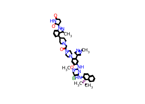 COc1cc(N2CCN(C(=O)CN3CCC(c4cccc5c4c(C)nn5C4CCC(=O)NC4=O)CC3)CC2)c(-c2cnn(C)c2)cc1Nc1ncc(Br)c(Nc2ccc3ccccc3c2P(C)C)n1